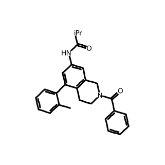 Cc1ccccc1-c1cc(NC(=O)C(C)C)cc2c1CCN(C(=O)c1ccccc1)C2